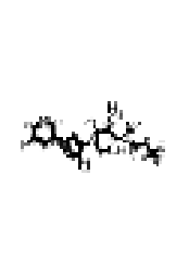 CCN(C(=O)C(C)C[S+]([O-])CCC(F)(F)F)c1cn(-c2cncc(F)c2)nc1Cl